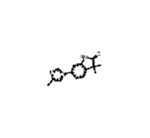 Cc1cn(-c2ccc3c(c2)NC(=O)C3(C)C)cn1